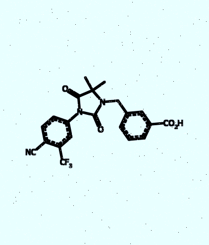 CC1(C)C(=O)N(c2ccc(C#N)c(C(F)(F)F)c2)C(=O)N1Cc1cccc(C(=O)O)c1